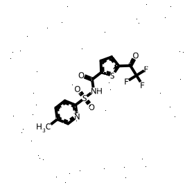 Cc1ccc(S(=O)(=O)NC(=O)c2ccc(C(=O)C(F)(F)F)s2)nc1